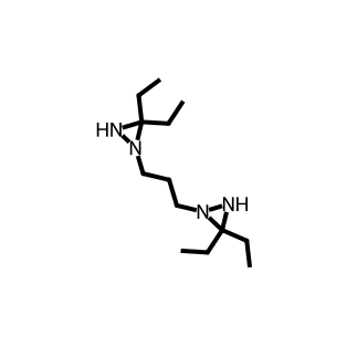 CCC1(CC)NN1CCCN1NC1(CC)CC